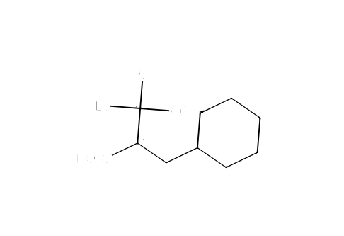 CCC(C)(C(=O)O)C(CC1CCCCC1)C(=O)O